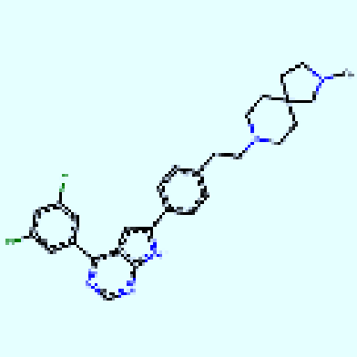 N#CN1CCC2(CCN(CCc3ccc(-c4cc5c(-c6cc(F)cc(F)c6)ncnc5[nH]4)cc3)CC2)C1